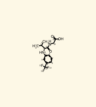 CC(C)[C@H](Nc1cccc(C(F)(F)F)c1)C(=O)NCC(=O)O